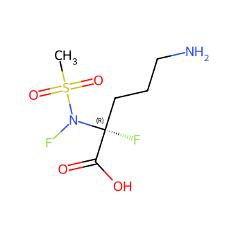 CS(=O)(=O)N(F)[C@@](F)(CCCN)C(=O)O